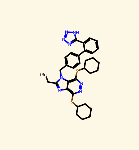 CC(C)(C)Cc1nc2c(SC3CCCCC3)nnc(SC3CCCCC3)c2n1Cc1ccc(-c2ccccc2-c2nnn[nH]2)cc1